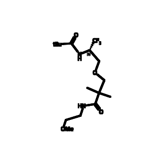 COCCNC(=O)C(C)(C)COC[C@H](NC(=O)C(C)(C)C)C(F)(F)F